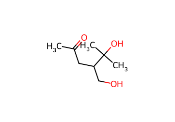 CC(=O)CC(CO)C(C)(C)O